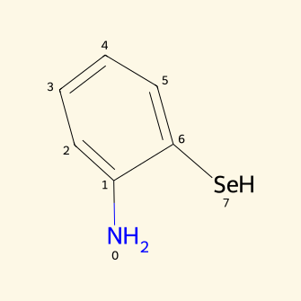 Nc1ccccc1[SeH]